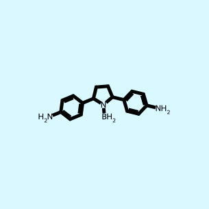 BN1C(c2ccc(N)cc2)CCC1c1ccc(N)cc1